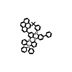 CC(C)(C)c1cccc(N2c3cc(-c4ccccc4)ccc3B3c4cccc5c4N(c4ccccc4S5(c4ccccc4)C4C=CC=CC4)c4cc(-c5ccc6ccc7cccc8ccc5c6c78)cc2c43)c1